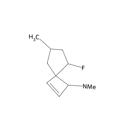 CNC1C=CC12CC(C)CC2F